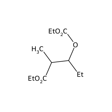 CCOC(=O)OC(CC)C(C)C(=O)OCC